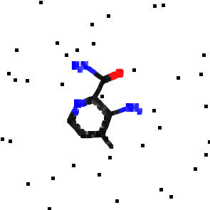 Cc1ccnc(C(N)=O)c1N